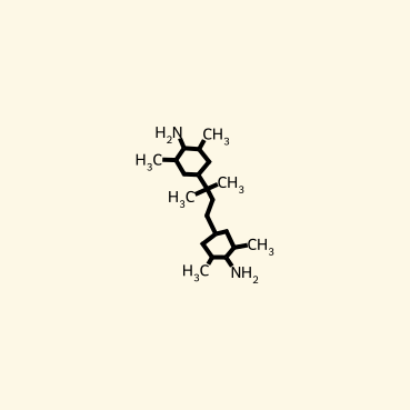 CC1CC(CCC(C)(C)C2CC(C)C(N)C(C)C2)CC(C)C1N